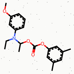 CCN(c1cccc(OC)c1)C(C)OC(=O)Oc1cc(C)cc(C)c1